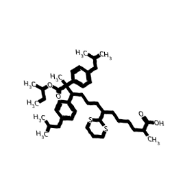 CCC(C)OC(=O)C(C)(c1ccc(CC(C)C)cc1)C(CCCC(CCCCC(C)C(=O)O)C1SCCCS1)c1ccc(CC(C)C)cc1